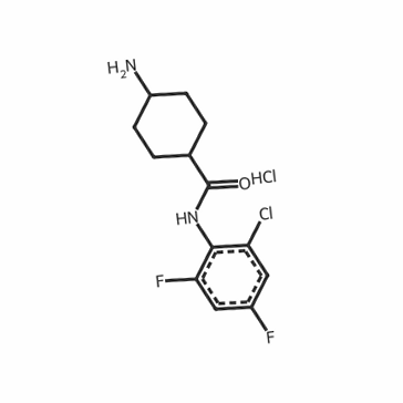 Cl.NC1CCC(C(=O)Nc2c(F)cc(F)cc2Cl)CC1